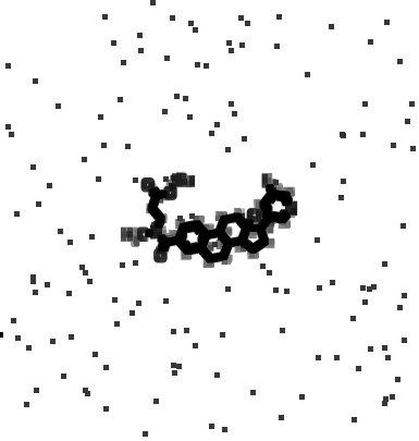 CN(CCC(=O)OC(C)(C)C)C(=O)c1ccc2c(c1)CCC1C2CCC2(C)C(c3cncc(F)c3)CCC12